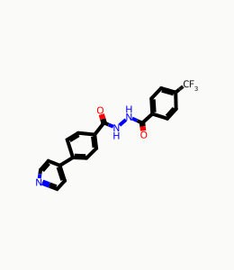 O=C(NNC(=O)c1ccc(C(F)(F)F)cc1)c1ccc(-c2ccncc2)cc1